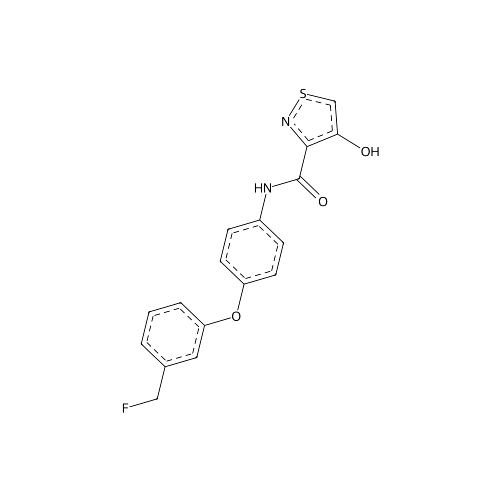 O=C(Nc1ccc(Oc2cccc(CF)c2)cc1)c1nscc1O